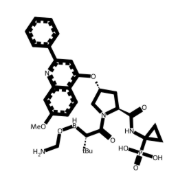 COc1ccc2c(O[C@@H]3C[C@@H](C(=O)NC4(P(=O)(O)O)CC4)N(C(=O)[C@@H](BOCN)C(C)(C)C)C3)cc(-c3ccccc3)nc2c1